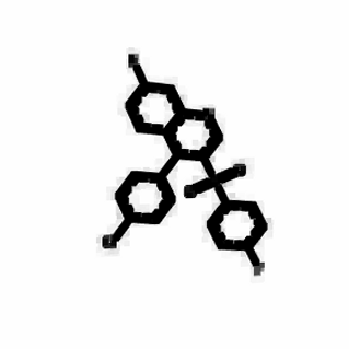 O=S(=O)(c1ccc(F)cc1)c1cnc2cc(F)ccc2c1-c1ccc(Cl)cc1